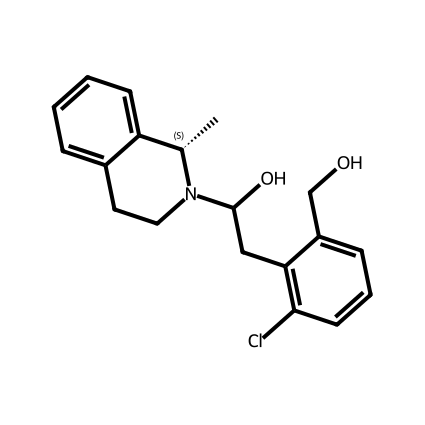 C[C@H]1c2ccccc2CCN1C(O)Cc1c(Cl)cccc1CO